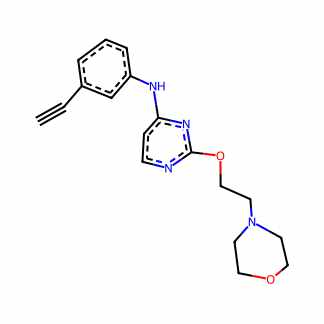 C#Cc1cccc(Nc2ccnc(OCCN3CCOCC3)n2)c1